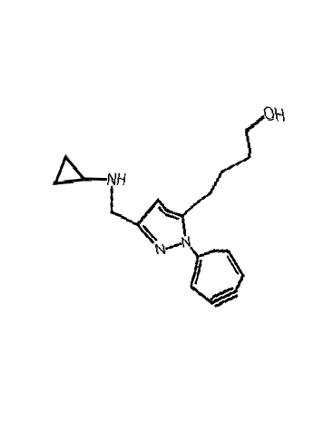 OCCCCc1cc(CNC2CC2)nn1-c1cc#ccc1